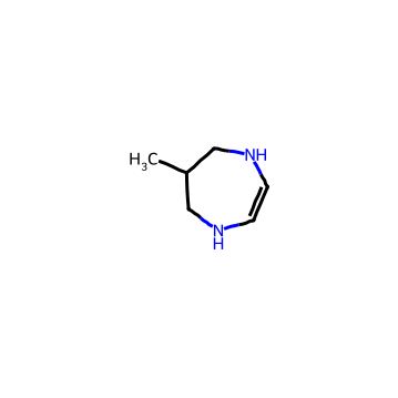 CC1CNC=CNC1